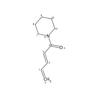 C=C/C=C/C(=O)N1CCCCC1